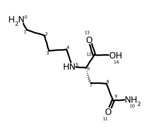 NCCCCN[C@@H](CCC(N)=O)C(=O)O